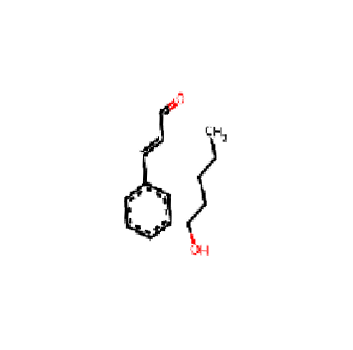 CCCCCO.O=C/C=C/c1ccccc1